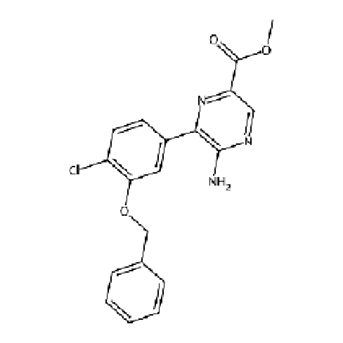 COC(=O)c1cnc(N)c(-c2ccc(Cl)c(OCc3ccccc3)c2)n1